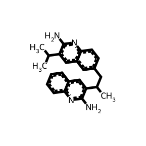 CC(C)c1cc2cc(CC(C)c3cc4ccccc4nc3N)ccc2nc1N